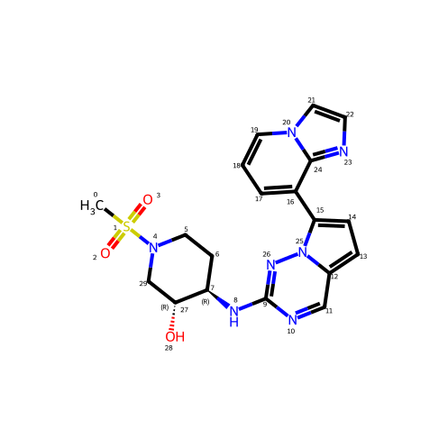 CS(=O)(=O)N1CC[C@@H](Nc2ncc3ccc(-c4cccn5ccnc45)n3n2)[C@H](O)C1